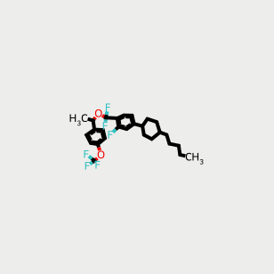 CCCCCC1CCC(c2ccc(C(F)(F)OC(C)c3ccc(OC(F)(F)F)cc3)c(F)c2)CC1